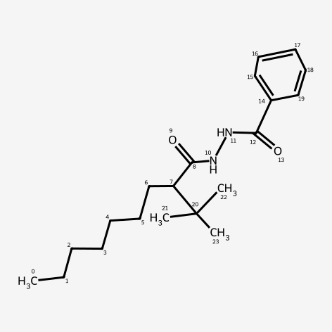 CCCCCCCC(C(=O)NNC(=O)c1ccccc1)C(C)(C)C